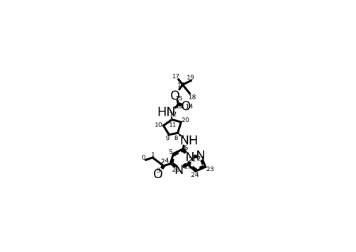 CCC(=O)c1cc(N[C@H]2CC[C@H](NC(=O)OC(C)(C)C)C2)n2nccc2n1